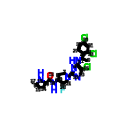 CC(Nc1nc(N2CC[C@H](NC(=O)[C@H]3CC[C@H](C)N3)[C@@H](F)C2)ncc1Cl)c1ccc(Cl)cc1Cl